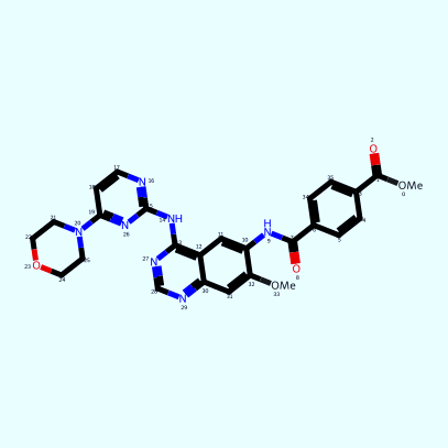 COC(=O)c1ccc(C(=O)Nc2cc3c(Nc4nccc(N5CCOCC5)n4)ncnc3cc2OC)cc1